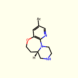 CC(=O)c1cnc2c(c1)OCC[C@H]1CNCCN21